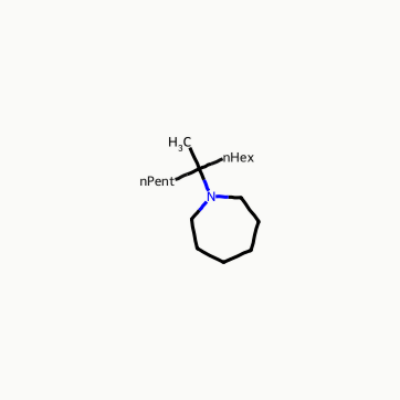 CCCCCCC(C)(CCCCC)N1CCCCCC1